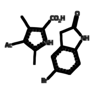 CC(=O)c1c(C)[nH]c(C(=O)O)c1C.O=C1Cc2cc(Br)ccc2N1